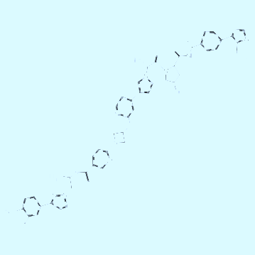 Cc1ncsc1-c1ccc([C@H](C)NC(=O)C2C[C@@H](O)CN2C(=O)[C@H](C(C)C)n2ccc(-c3ccnc(OC4CN(c5ccc(C(=O)NC(C)Cn6ccc(-c7ccc(C#N)c(Cl)c7)n6)cn5)C4)c3)c2)cc1